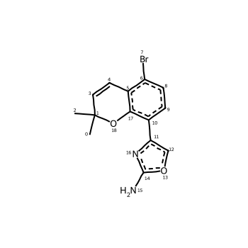 CC1(C)C=Cc2c(Br)ccc(-c3coc(N)n3)c2O1